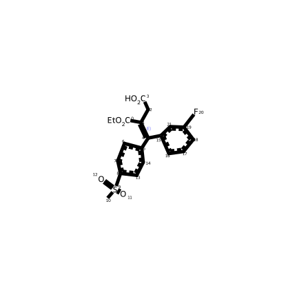 CCOC(=O)/C(CC(=O)O)=C(\c1ccc(S(C)(=O)=O)cc1)c1cccc(F)c1